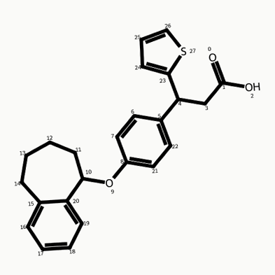 O=C(O)CC(c1ccc(OC2CCCCc3ccccc32)cc1)c1cccs1